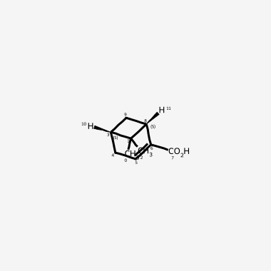 CC1(C)[C@@H]2CC=C(C(=O)O)[C@H]1C2